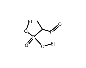 CCOP(=O)(OCC)C(C)P=O